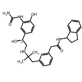 CC(C)(Cc1cccc(CC(=O)NC2CCc3ccccc32)c1)NC[C@@H](O)c1ccc(O)c(NC(N)=O)c1